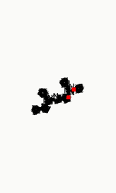 c1ccc(-c2cccc(-c3cc(-c4ccc(-c5cccc(-c6nc(-c7ccccc7)nc(-c7ccccc7)n6)c5)cn4)nc(-c4ccccc4)n3)c2)cc1